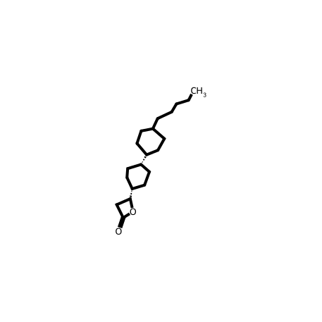 CCCCCC1CCC([C@H]2CC[C@@H](C3CC(=O)O3)CC2)CC1